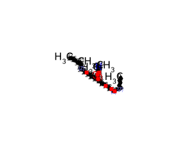 CCCCC/C=C\C/C=C\CCCCCCCCC(CCCCCCCC/C=C\CC(C)CCCCCC)OC(=O)CCCN(C)C